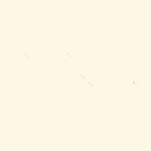 COc1ccc2c(CN3CCC4(CC3)CN(c3ccccc3)C(=O)O4)nn(CC(=O)C(C)(C)C)c2c1